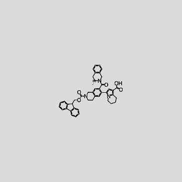 C[C@@H]1Cc2ccccc2CN1C(=O)c1cc2c(cc1-c1cc(C(=O)O)c3n1CCCC3)CCN(C(=O)OCC1c3ccccc3-c3ccccc31)C2